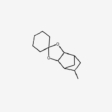 CC1CC2CC1C1OC3(CCCCC3)OC21